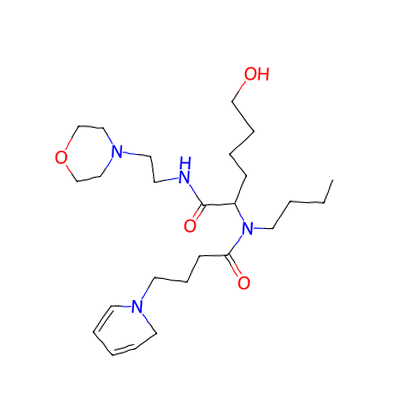 CCCCN(C(=O)CCCN1C=CC=CC1)C(CCCCO)C(=O)NCCN1CCOCC1